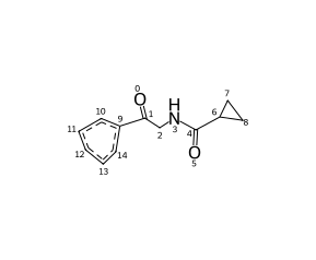 O=C(CNC(=O)C1CC1)c1ccccc1